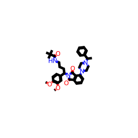 COc1ccc(C(CCCNC(=O)C(C)(C)C)N2C(=O)c3cccc(N4CCN(C(C)c5ccccc5)CC4)c3C2=O)cc1OC